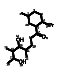 CC1CCC(C(C)C)C(C(=O)CCC(C)C(O)C(C)C(C)O)C1